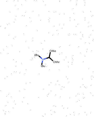 COC(OC)N(C(C)(C)C)C(C)(C)C